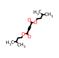 CC(C)CCOC(=O)C#CC(=O)OCCC(C)C